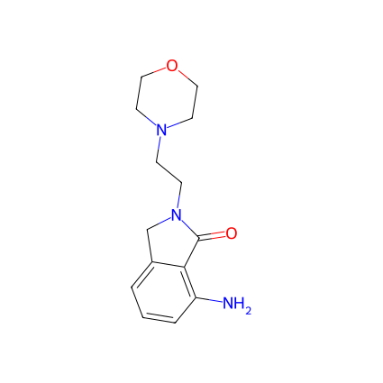 Nc1cccc2c1C(=O)N(CCN1CCOCC1)C2